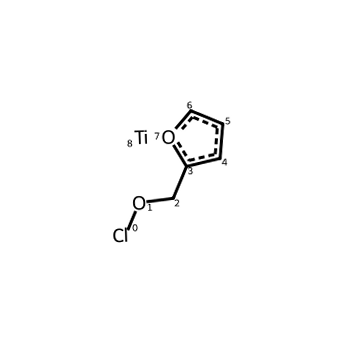 ClOCc1ccco1.[Ti]